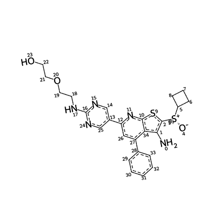 Nc1c([S@@+]([O-])C2CCC2)sc2nc(-c3cnc(NCCOCCO)nc3)cc(-c3ccccc3)c12